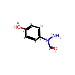 NN(C=O)c1ccc(O)cc1